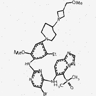 CCc1cc(Nc2ncc(Br)c(Nc3ccc4ncnn4c3P(C)(C)=O)n2)c(OC)cc1N1CCC(N2CC(COC)C2)CC1